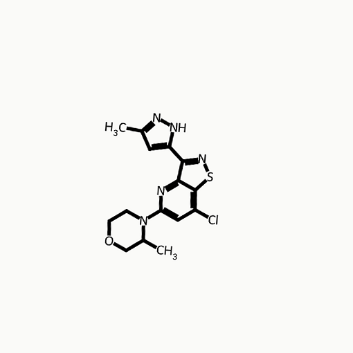 Cc1cc(-c2nsc3c(Cl)cc(N4CCOCC4C)nc23)[nH]n1